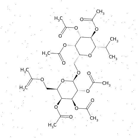 C=C(C)OC[C@H]1O[C@@H](OC[C@H]2O[C@@H](C(C)C)[C@H](OC(C)=O)[C@@H](OC(C)=O)[C@H]2OC(C)=O)[C@H](OC(C)=O)[C@@H](OC(C)=O)[C@H]1OC(C)=O